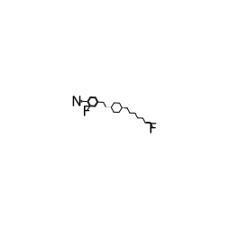 N#Cc1ccc(CC[C@H]2CC[C@H](CCCCCC=CF)CC2)cc1F